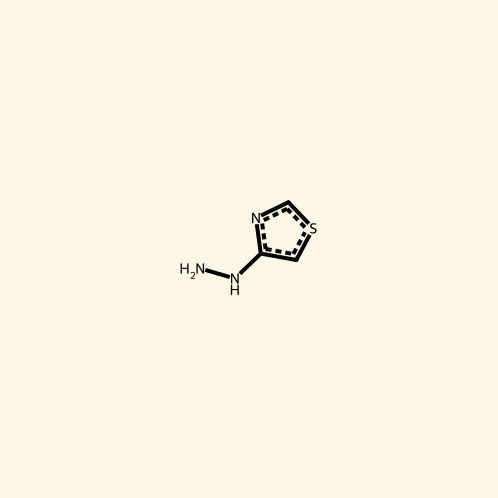 NNc1cscn1